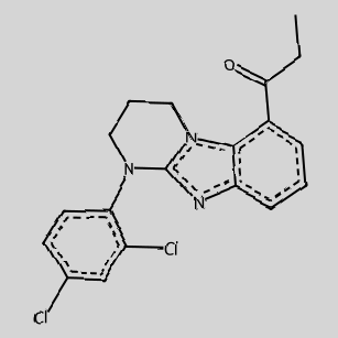 CCC(=O)c1cccc2nc3n(c12)CCCN3c1ccc(Cl)cc1Cl